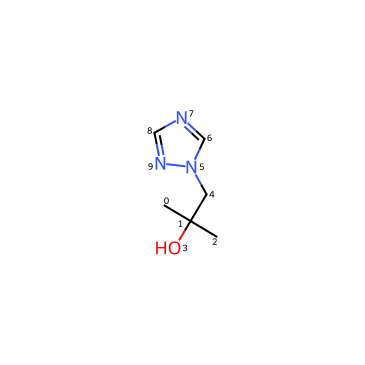 CC(C)(O)Cn1cncn1